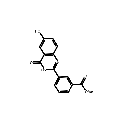 COC(=O)c1cccc(-c2nc3ccc(O)cc3c(=O)[nH]2)c1